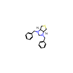 c1ccc(CN2CN(Cc3ccccc3)[C@H]3CSC[C@H]32)cc1